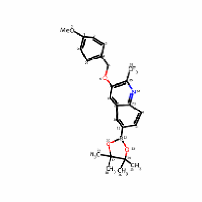 COc1ccc(COc2cc3cc(B4OC(C)(C)C(C)(C)O4)ccc3nc2C(F)(F)F)cc1